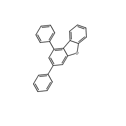 c1ccc(-c2cc(-c3ccccc3)c3c(c2)oc2ccccc23)cc1